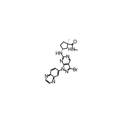 CNC(=O)[C@]1(C)CC[C@@H](Nc2ncc3c(Br)nn(-c4ccc5nccnc5c4)c3n2)C1